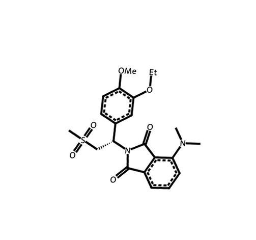 CCOc1cc([C@@H](CS(C)(=O)=O)N2C(=O)c3cccc(N(C)C)c3C2=O)ccc1OC